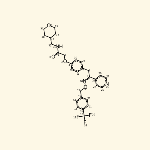 O=C(COc1ccc(CC(=NOCc2ccc(C(F)(F)F)cc2)c2ccncc2)cc1)NCC1CCOCC1